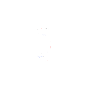 CC(C)C1(CCO[Si](C)(C)OCCC2(C(C)C)NCCO2)NCCO1